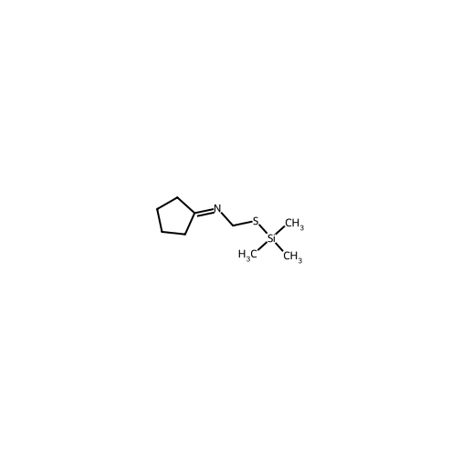 C[Si](C)(C)SCN=C1CCCC1